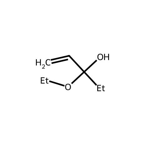 C=CC(O)(CC)OCC